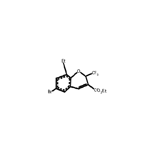 CCOC(=O)C1=Cc2cc(Br)cc(CC)c2OC1C(F)(F)F